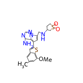 COc1cc(C)cc2cc(-c3cc(CNC4CCS(=O)(=O)C4)n4ncnc(N)c34)sc12